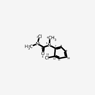 CN(Cl)C(=O)N(C)c1ccccc1Cl